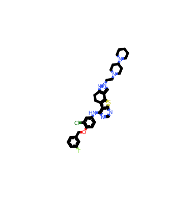 Fc1cccc(COc2ccc(Nc3ncnc4sc5c(c34)CCc3nn(CCN4CCC(N6CCCCC6)CC4)cc3-5)cc2Cl)c1